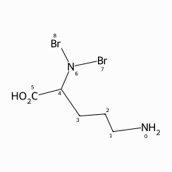 NCCCC(C(=O)O)N(Br)Br